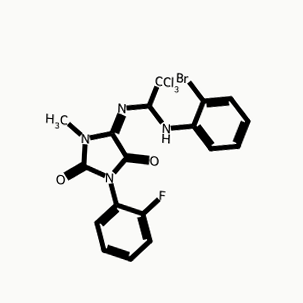 CN1C(=O)N(c2ccccc2F)C(=O)C1=NC(Nc1ccccc1Br)C(Cl)(Cl)Cl